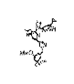 COc1cc(Cn2cc(-c3cc4nc(C)cn4c(Nc4cc(C5CC5)[nH]n4)n3)cn2)cc(OC)c1